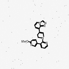 COc1ccc(-c2cccnc2N2CC=C(c3cccn4cnnc34)CC2)cn1